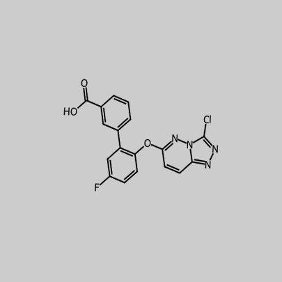 O=C(O)c1cccc(-c2cc(F)ccc2Oc2ccc3nnc(Cl)n3n2)c1